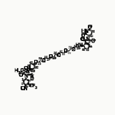 CC1(C)C(=O)N(c2ccc(C#N)c(C(F)(F)F)c2)C(=S=O)N1c1ccc(OCCOCCOCCOCCOCCOCCNc2cccc3c2C(=O)N(C2CCC(=O)NC2=O)C3=O)cc1